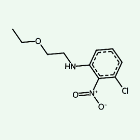 CCOCCNc1cccc(Cl)c1[N+](=O)[O-]